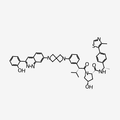 Cc1ncsc1-c1ccc([C@H](C)NC(=O)[C@@H]2C[C@@H](O)CN2C(=O)[C@@H](c2cccc(N3CC4(C3)CN(c3ccc5cc(-c6ccccc6O)nnc5c3)C4)c2)C(C)C)cc1